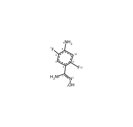 N/C(=N\O)c1cc(F)c(N)cc1F